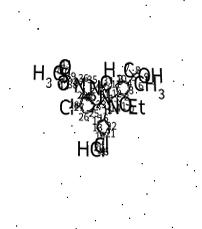 CCOc1cc(C(C)(C)CO)ccc1C1=N[C@@H](c2ccc(Cl)cc2)[C@@H](c2ccc(Cl)cc2)N1C(=O)N1CCN(CCS(C)(=O)=O)CC1.Cl